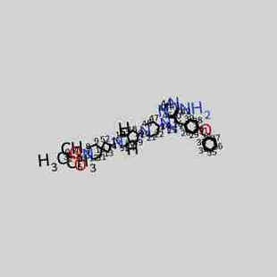 CC(C)(C)OC(=O)N1CCC2(CC1)CC(N1C[C@H]3CC(N4CCC(n5nc(-c6ccc(Oc7ccccc7)cc6)c6c(N)ncnc65)CC4)C[C@H]3C1)C2